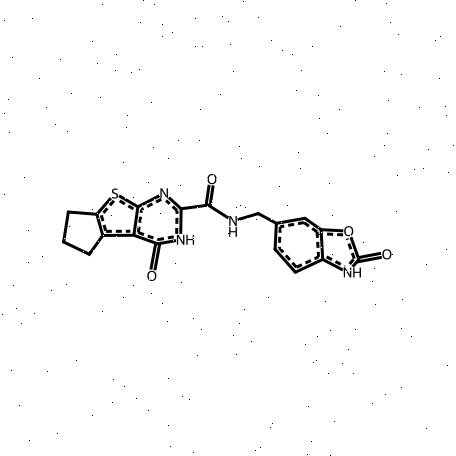 O=C(NCc1ccc2[nH]c(=O)oc2c1)c1nc2sc3c(c2c(=O)[nH]1)CCC3